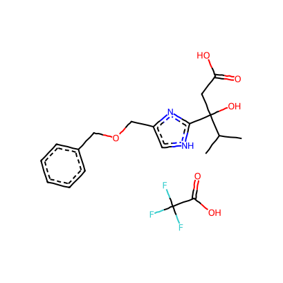 CC(C)C(O)(CC(=O)O)c1nc(COCc2ccccc2)c[nH]1.O=C(O)C(F)(F)F